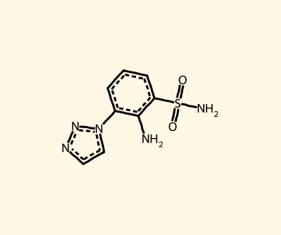 Nc1c(-n2ccnn2)cccc1S(N)(=O)=O